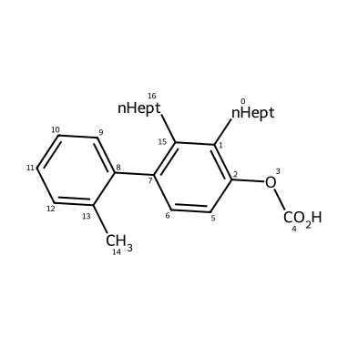 CCCCCCCc1c(OC(=O)O)ccc(-c2ccccc2C)c1CCCCCCC